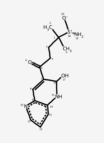 CC(C)(CCC(=O)C1=Cc2ncccc2NC1O)[S@@+](N)[O-]